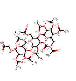 CC(=O)OCC1OC(OC2C(COC(C)=O)OC(OC3C(COC(C)=O)OC(OCC(=O)O)C(OC(C)=O)C3OC(C)=O)C(OC(C)=O)C2OC(C)=O)C(OC(C)=O)C(OC(C)=O)C1OC(C)=O